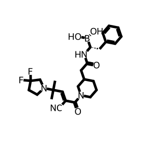 CC(C)(C=C(C#N)C(=O)N1CCCC(CC(=O)N[C@@H](Cc2ccccc2)B(O)O)C1)N1CCC(F)(F)C1